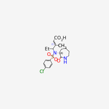 CCC(/C(C)=C/C(=O)O)N([C@@H]1CCCCNC1=O)S(=O)(=O)c1ccc(Cl)cc1